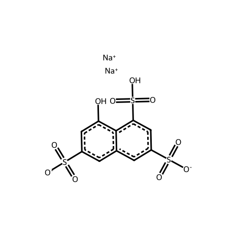 O=S(=O)([O-])c1cc(O)c2c(S(=O)(=O)O)cc(S(=O)(=O)[O-])cc2c1.[Na+].[Na+]